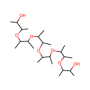 CC(O)C(C)OC(C)C(C)OC(C)C(C)OC(C)C(C)OC(C)C(C)OC(C)C(C)O